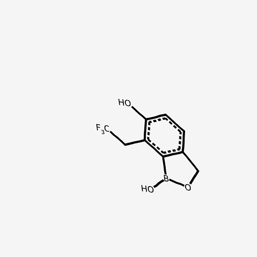 OB1OCc2ccc(O)c(CC(F)(F)F)c21